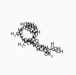 C=C1C[C@@H]2CC[C@]34OC5[C@@H]6O[C@H]7CC[C@H](CC(=O)C[C@@H]8CC9OC%10C[C@]%11(C[C@@H]%12O[C@@]%13(CC[C@@H]%12O%11)C[C@H](C)[C@@H]%11O[C@H]([C@@H](O)C[C@@H](O)CO)C[C@@H]%11O%13)O[C@@H]%10C[C@@H]9O[C@H]8C[C@H]8O[C@@H](CC[C@@H]1O2)C[C@@H](C)C8=C)O[C@@H]7[C@H](O3)[C@@H]6O[C@@]5(O)[C@H]4O